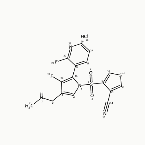 CNCc1cn(S(=O)(=O)c2cscc2C#N)c(-c2cccnc2F)c1F.Cl